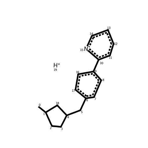 CC1CCC(Cc2ccc(-c3ccccn3)cc2)C1.[H+]